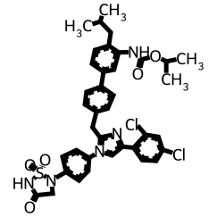 CC(C)Cc1ccc(-c2ccc(Cc3nc(-c4ccc(Cl)cc4Cl)cn3-c3ccc(N4CC(=O)NS4(=O)=O)cc3)cc2)cc1NC(=O)OC(C)C